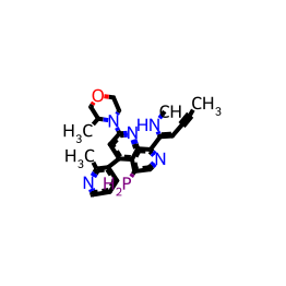 CC#C/C=C(\NC)c1ncc(P)c2c(-c3cccnc3C)cc(N3CCOCC3C)nc12